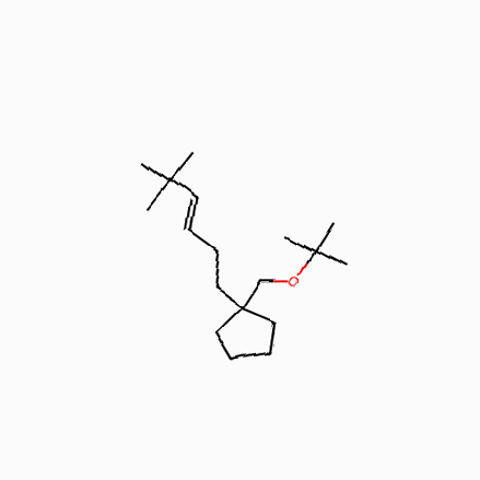 CC(C)(C)/C=C/CCC1(COC(C)(C)C)CCCC1